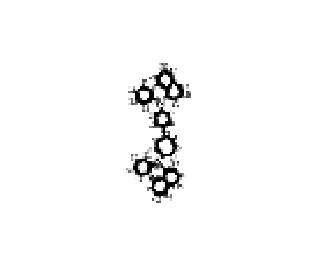 C1=CC(c2ccc(N(c3ccccc3)c3cccc4ccccc34)cc2)=CC=C(N(c2ccccc2)c2cccc3ccccc23)C1